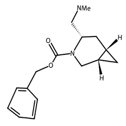 CNC[C@@H]1C[C@@H]2C[C@@H]2CN1C(=O)OCc1ccccc1